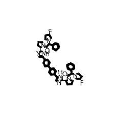 O=C(C(c1ccccc1)N1CC[C@H](F)C1)N1CCC[C@H]1c1ncc(-c2ccc(-c3ccc(-c4cnc([C@@H]5CCCN5C(=O)C(c5ccccc5)N5CC[C@H](F)C5)[nH]4)cc3)cc2)[nH]1